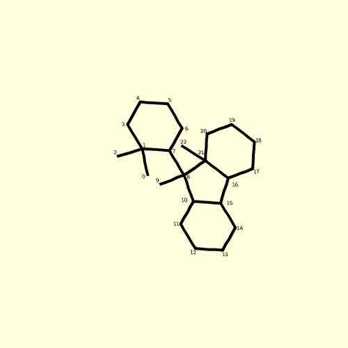 CC1(C)CCCCC1C1(C)C2CCCCC2C2CCCCC21C